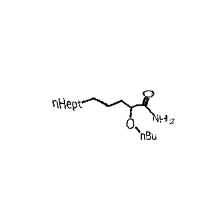 CCCCCCCCCCC(OCCCC)C(N)=O